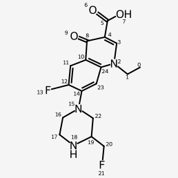 CCn1cc(C(=O)O)c(=O)c2cc(F)c(N3CCNC(CF)C3)cc21